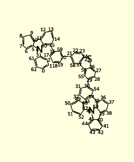 c1ccc(-n2c3ccccc3c3cccc(-c4cccc(-c5ccc6sc7ccc(-c8cccc(-c9cccc%10c%11ccccc%11n(-c%11ccccc%11)c9%10)c8)cc7c6c5)c4)c32)cc1